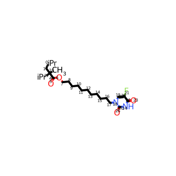 CC(C)CC(C)(C(=O)OCCCCCCCCCCCn1cc(F)c(=O)[nH]c1=O)C(C)C